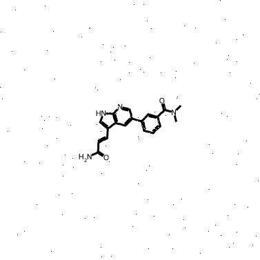 CN(C)C(=O)c1cccc(-c2cnc3[nH]cc(C=CC(N)=O)c3c2)c1